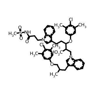 Cc1cc(OCC(C)Cc2cn(CC(C(=O)O)C(CCc3cn(CCC(=O)NS(C)(=O)=O)c4ccccc34)Oc3cc(C)c(Cl)c(C)c3)c3ccccc23)cc(C)c1Cl